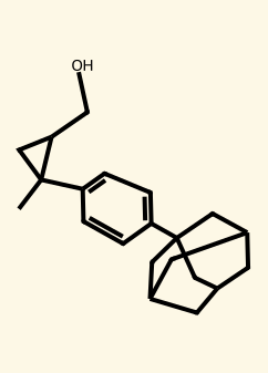 CC1(c2ccc(C34CC5CC(CC(C5)C3)C4)cc2)CC1CO